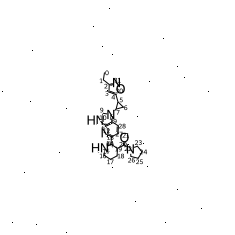 CCc1cc(C2CC2N2CNc3nc([C@@H]4NCCCC4C(=O)N4CCCC4)ccc32)on1